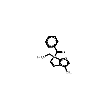 Cc1csc2c1C=C[N+]2(CC(=O)O)C(=O)c1ccccc1